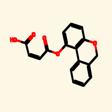 O=C(O)/C=C\C(=O)Oc1cccc2c1-c1ccccc1CO2